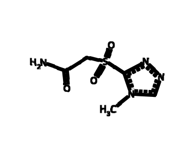 Cn1cnnc1S(=O)(=O)CC(N)=O